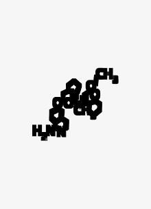 CCCOC(=O)CN(C1CCCCC1)[C@@H](C)C(=O)N1CCCCC1CCOc1ccc2c(N)nccc2c1